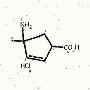 CC1(N)C=CC(C(=O)O)C1.Cl